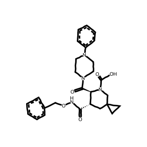 O=C(NOCc1ccccc1)[C@H]1CC2(CC2)CN(C(=O)O)[C@@H]1C(=O)N1CCN(c2ccccc2)CC1